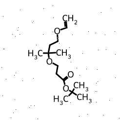 C=COCCC(C)(C)OCCC(=O)OC(C)(C)C